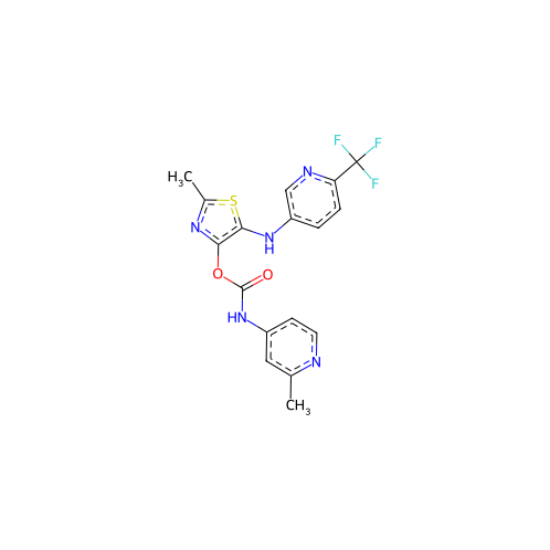 Cc1cc(NC(=O)Oc2nc(C)sc2Nc2ccc(C(F)(F)F)nc2)ccn1